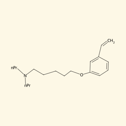 C=Cc1cccc(OCCCCCN(CCC)CCC)c1